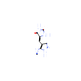 C=Nc1[nH]ncc1/C=C1\NC(=O)NC1=O